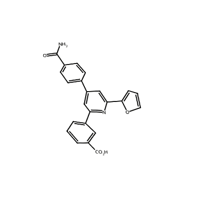 NC(=O)c1ccc(-c2cc(-c3cccc(C(=O)O)c3)nc(-c3ccco3)c2)cc1